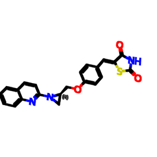 O=C1NC(=O)C(=Cc2ccc(OC[C@H]3CN3c3ccc4ccccc4n3)cc2)S1